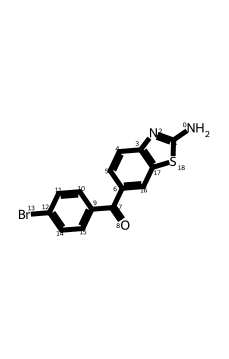 Nc1nc2ccc(C(=O)c3ccc(Br)cc3)cc2s1